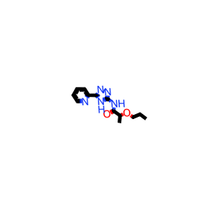 CCCOC(C)C(=O)Nc1nnc(-c2ccccn2)[nH]1